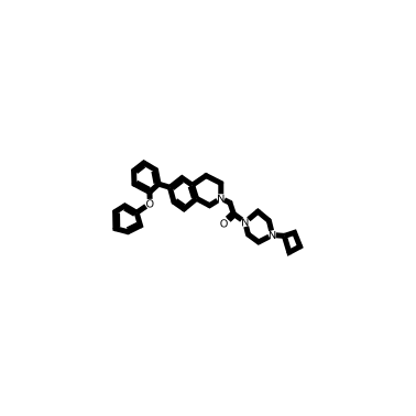 O=C(CN1CCc2cc(-c3ccccc3Oc3ccccc3)ccc2C1)N1CCN(C2CCC2)CC1